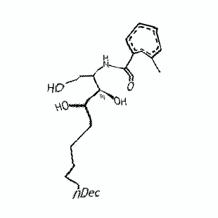 CCCCCCCCCCCCCCC(O)[C@H](O)C(CO)NC(=O)c1ccccc1C